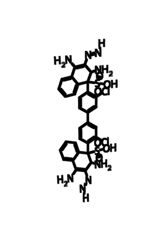 [H]/N=N/C1=C(N)c2ccccc2C(c2ccc(-c3ccc(C4(S(=O)(=O)O)c5ccccc5C(N)=C(/N=N/[H])C4N)c(Cl)c3)cc2Cl)(S(=O)(=O)O)C1N